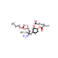 CCCC(C)C(=O)Oc1ccc(CC(N)(C[C@H](C)OC(=O)OCCC(C)C)C(=O)O)cc1OC(=O)C(C)CCC